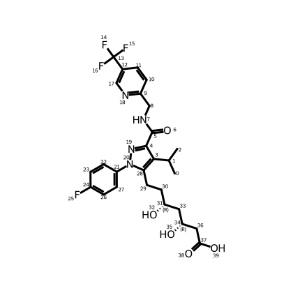 CC(C)c1c(C(=O)NCc2ccc(C(F)(F)F)cn2)nn(-c2ccc(F)cc2)c1CC[C@@H](O)C[C@@H](O)CC(=O)O